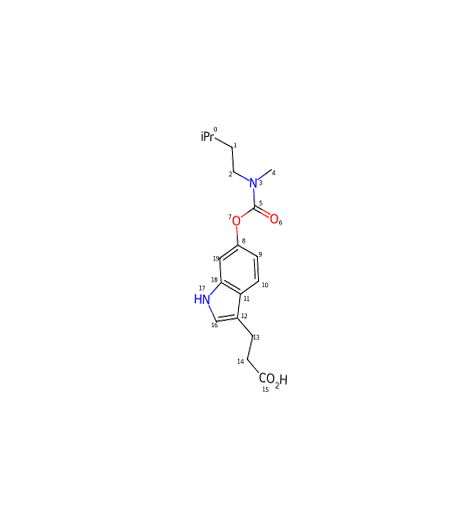 CC(C)CCN(C)C(=O)Oc1ccc2c(CCC(=O)O)c[nH]c2c1